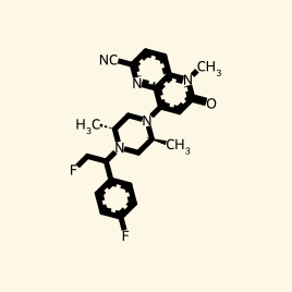 C[C@@H]1CN(c2cc(=O)n(C)c3ccc(C#N)nc23)[C@@H](C)CN1C(CF)c1ccc(F)cc1